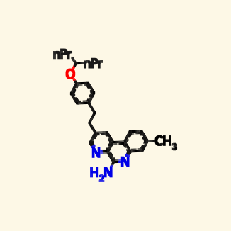 CCCC(CCC)Oc1ccc(CCc2cnc3c(N)nc4cc(C)ccc4c3c2)cc1